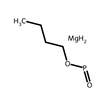 CCCCOP=O.[MgH2]